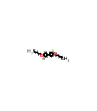 CCCCCOc1ccc(-c2ccc(OCCCCC)c(F)c2)cc1F